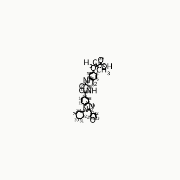 CC(C)(Oc1ccc(C[C@H](NC(=O)c2ccc3c(c2)nc(-c2ccoc2)n3C2CCCCC2)C(N)=O)cc1)C(=O)O